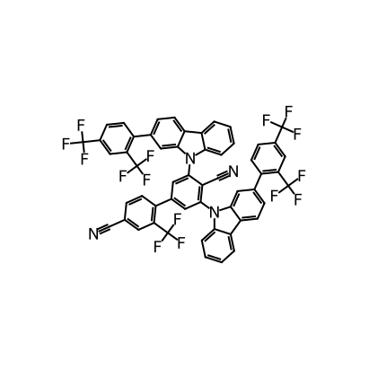 N#Cc1ccc(-c2cc(-n3c4ccccc4c4ccc(-c5ccc(C(F)(F)F)cc5C(F)(F)F)cc43)c(C#N)c(-n3c4ccccc4c4ccc(-c5ccc(C(F)(F)F)cc5C(F)(F)F)cc43)c2)c(C(F)(F)F)c1